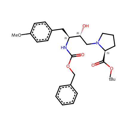 COc1ccc(C[C@H](NC(=O)OCc2ccccc2)[C@H](O)CN2CCC[C@H]2C(=O)OC(C)(C)C)cc1